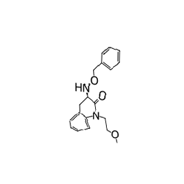 COCCN1C(=O)[C@H](NOCc2ccccc2)Cc2ccccc21